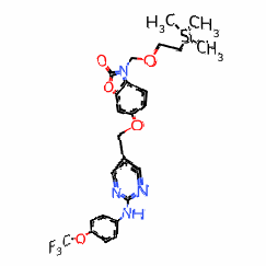 C[Si](C)(C)CCOCn1c(=O)oc2cc(OCc3cnc(Nc4ccc(OC(F)(F)F)cc4)nc3)ccc21